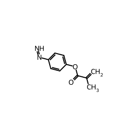 C=C(C)C(=O)Oc1ccc(N=N)cc1